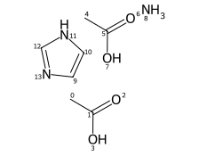 CC(=O)O.CC(=O)O.N.c1c[nH]cn1